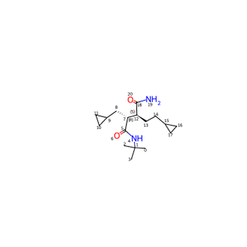 CC(C)(C)NC(=O)[C@H](CC1CC1)[C@H](CCC1CC1)C(N)=O